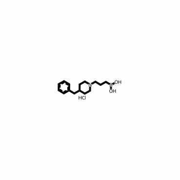 Cl.OB(O)CCCN1CCC(Cc2ccccc2)CC1